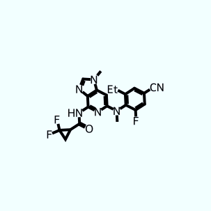 CCc1cc(C#N)cc(F)c1N(C)c1cc2c(ncn2C)c(NC(=O)C2CC2(F)F)n1